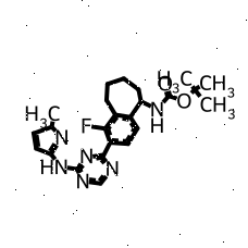 CC1C=CC(Nc2ncnc(-c3ccc4c(c3F)CCCCC4NC(=O)OC(C)(C)C)n2)=N1